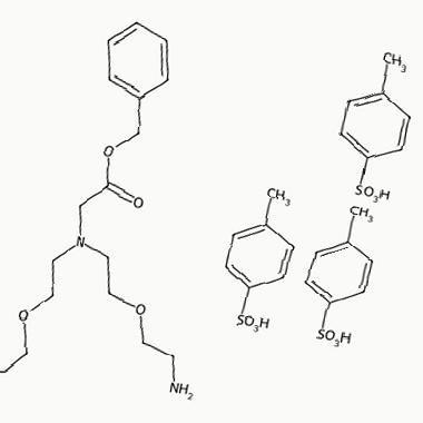 Cc1ccc(S(=O)(=O)O)cc1.Cc1ccc(S(=O)(=O)O)cc1.Cc1ccc(S(=O)(=O)O)cc1.NCCOCCN(CCOCCN)CC(=O)OCc1ccccc1